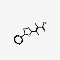 C/C(C(=O)O)=C(/C)C1COC(c2ccccc2)O1